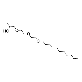 CCCCCCCCCCCOCCOCCOCC(C)O